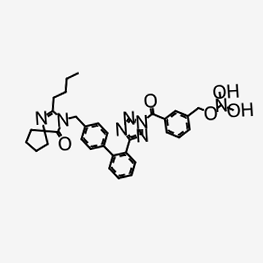 CCCCC1=NC2(CCCC2)C(=O)N1Cc1ccc(-c2ccccc2-c2nnn(C(=O)c3cccc(CON(O)O)c3)n2)cc1